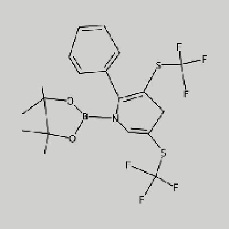 CC1(C)OB(N2C=C(SC(F)(F)F)CC(SC(F)(F)F)=C2c2ccccc2)OC1(C)C